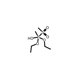 CCOP(C)(O)(OCC)S(C)(=O)=O